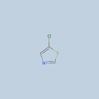 Clc1cn[c]s1